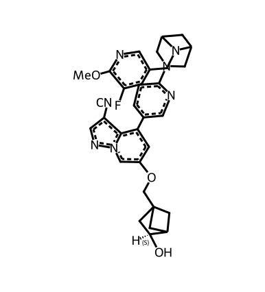 COc1ncc(CN2C3CC2CN(c2ccc(-c4cc(OCC56CC(C5)[C@@H](O)C6)cn5ncc(C#N)c45)cn2)C3)cc1F